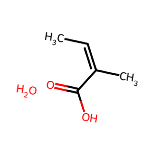 CC=C(C)C(=O)O.O